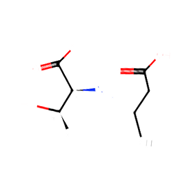 CCCC(=O)O.C[C@@H](O)[C@H](N)C(=O)O